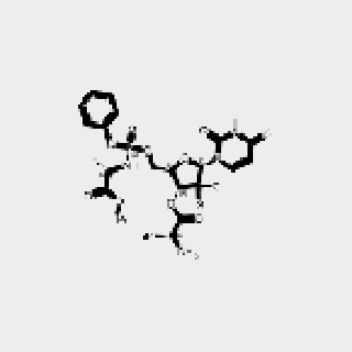 CC(C)OC(=O)[C@H](C)N[P@](=O)(OC[C@H]1O[C@@H](n2ccc(=O)[nH]c2=O)[C@](Cl)(Br)[C@@H]1OC(=O)[C@@H](N)C(C)C)Oc1ccccc1